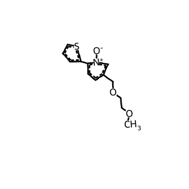 COCCOCc1ccc(-c2cccs2)[n+]([O-])c1